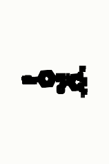 CC(C)(C)c1ccc(NC(=O)c2cc(F)nc(F)c2)cc1